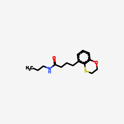 CCCNC(=O)CCCc1cccc2c1SCCO2